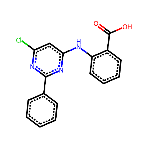 O=C(O)c1ccccc1Nc1cc(Cl)nc(-c2ccccc2)n1